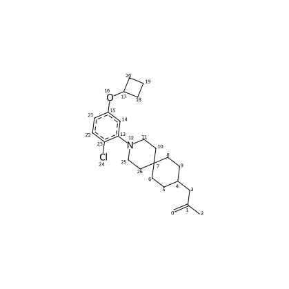 C=C(C)CC1CCC2(CC1)CCN(c1cc(OC3CCC3)ccc1Cl)CC2